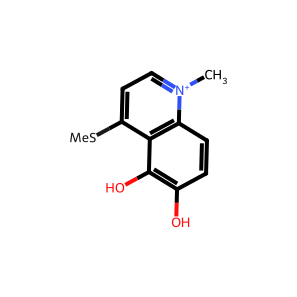 CSc1cc[n+](C)c2ccc(O)c(O)c12